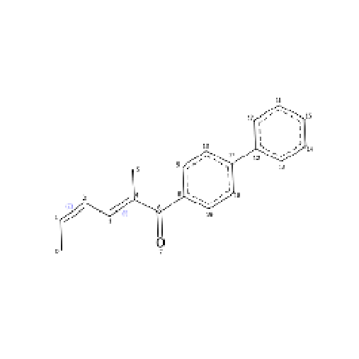 C/C=C\C=C(/C)C(=O)c1ccc(-c2ccccc2)cc1